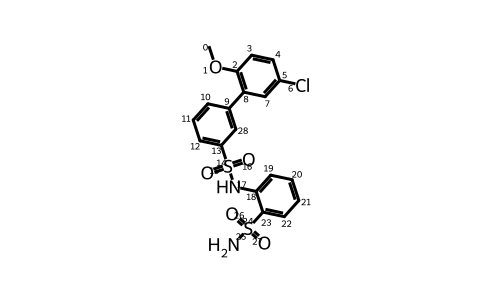 COc1ccc(Cl)cc1-c1cccc(S(=O)(=O)Nc2ccccc2S(N)(=O)=O)c1